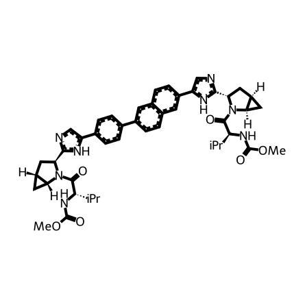 COC(=O)N[C@H](C(=O)N1[C@@H]2C[C@@H]2C[C@H]1c1ncc(-c2ccc(-c3ccc4cc(-c5cnc([C@@H]6C[C@H]7C[C@H]7N6C(=O)[C@@H](NC(=O)OC)C(C)C)[nH]5)ccc4c3)cc2)[nH]1)C(C)C